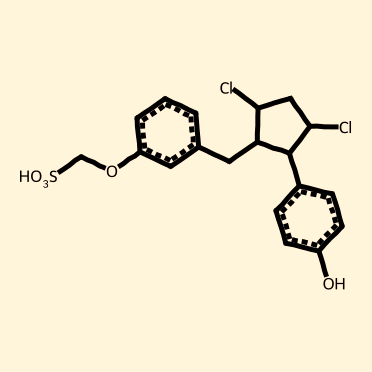 O=S(=O)(O)COc1cccc(CC2C(Cl)CC(Cl)C2c2ccc(O)cc2)c1